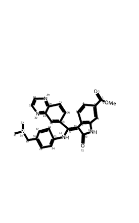 COC(=O)c1ccc2c(c1)NC(=O)/C2=C(\Nc1ccc(CN(C)C)cc1)c1ccc2nccnc2c1